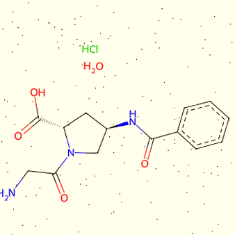 Cl.NCC(=O)N1C[C@H](NC(=O)c2ccccc2)C[C@H]1C(=O)O.O